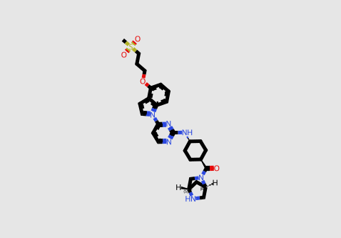 CS(=O)(=O)CCCOc1cccc2c1ccn2-c1ccnc(N[C@H]2CC[C@H](C(=O)N3C[C@@H]4C[C@@H]3CN4)CC2)n1